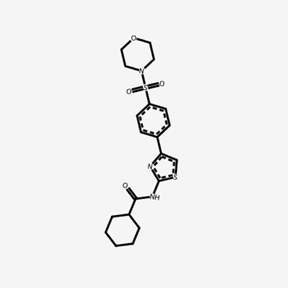 O=C(Nc1nc(-c2ccc(S(=O)(=O)N3CCOCC3)cc2)cs1)C1CCCCC1